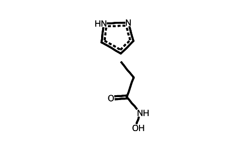 CCC(=O)NO.c1cn[nH]c1